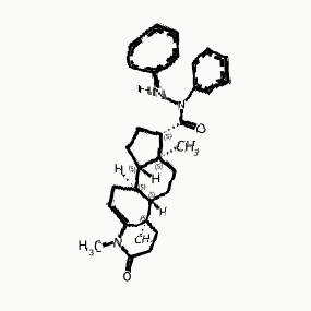 CN1C(=O)CC[C@@]2(C)C1=CC[C@H]1[C@@H]3CC[C@H](C(=O)N(Nc4ccccc4)c4ccccc4)[C@@]3(C)CC[C@@H]12